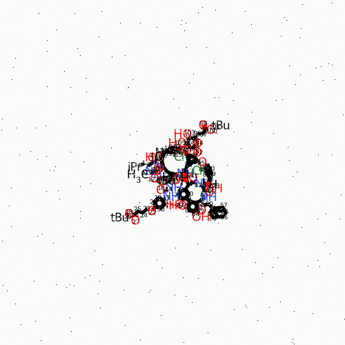 CC(C)C[C@H](C(=O)N[C@H]1C(=O)C[C@@H](CC(=O)NC(=O)Nc2ccc(OCCCC(=O)OC(C)(C)C)cc2)C(=O)N[C@H]2C(=O)C[C@H]3C(=O)N[C@H](C(=O)N[C@H](C(=O)CC4C5CC6CC(C5)CC4C6)c4cc(O)cc(O)c4-c4cc3ccc4O)[C@H](O)c3ccc(c(Cl)c3)Oc3cc2cc(c3O[C@@H]2O[C@H](CCC(=O)OC(C)(C)C)[C@@H](O)[C@H](O)[C@H]2O)Oc2ccc(cc2Cl)[C@H]1O)N(C)C(=O)OC(C)(C)C